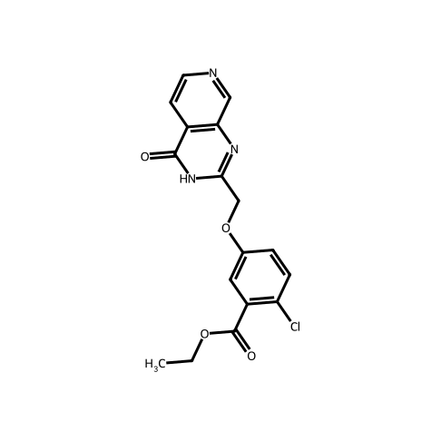 CCOC(=O)c1cc(OCc2nc3cnccc3c(=O)[nH]2)ccc1Cl